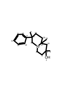 CC1(O)CCN2CC(C)(c3ccccc3)CCC2(C)C1